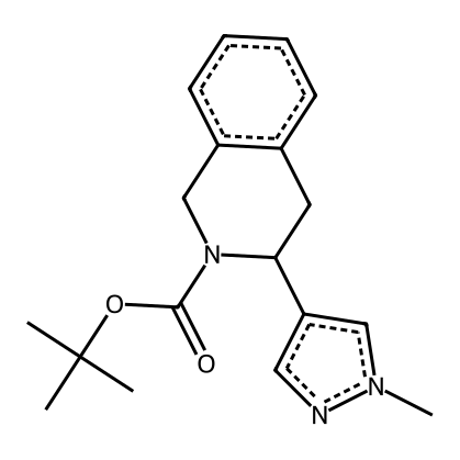 Cn1cc(C2Cc3ccccc3CN2C(=O)OC(C)(C)C)cn1